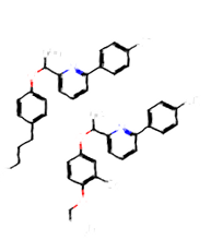 CCCCC(Oc1ccc(CCCC(=O)O)cc1)c1cccc(-c2ccc(C(F)(F)F)cc2)n1.CCCCC(Oc1ccc(OCC(=O)O)c(CC)c1)c1cccc(-c2ccc(C(F)(F)F)cc2)n1